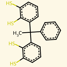 CC(c1ccccc1)(c1cccc(S)c1S)c1cccc(S)c1S